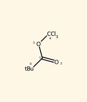 CC(C)(C)C(=O)OC(Cl)(Cl)Cl